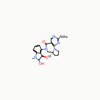 CNc1ncc2c(n1)N1CCC[C@H]1CN(c1cccc3c1C(=O)C(O)N3C)C2=O